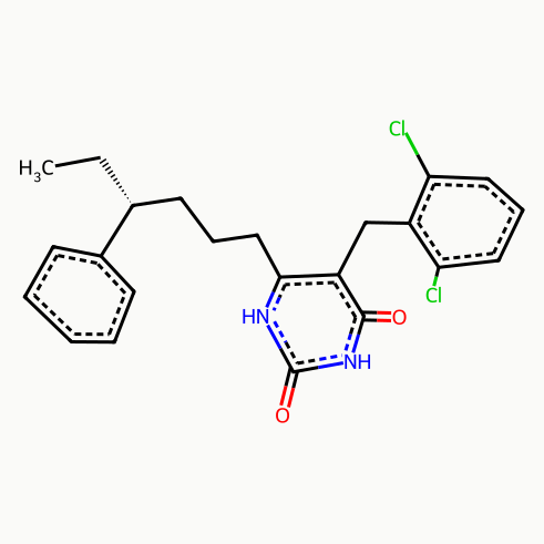 CC[C@H](CCCc1[nH]c(=O)[nH]c(=O)c1Cc1c(Cl)cccc1Cl)c1ccccc1